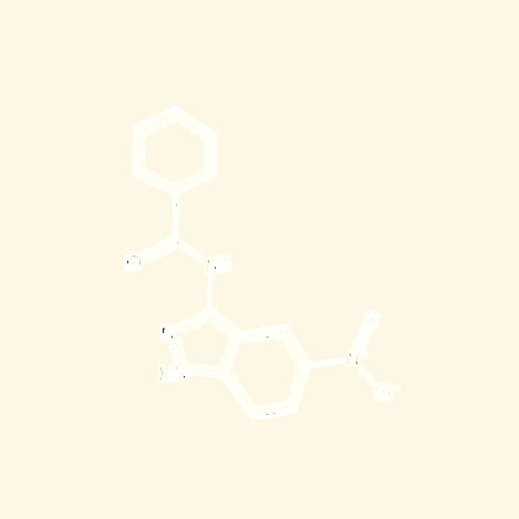 O=C(Nc1n[nH]c2ccc([N+](=O)[O-])cc12)c1ccccc1